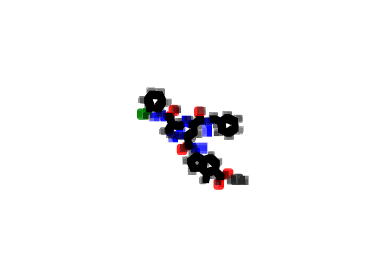 Cc1c(C(=O)OC(C)(C)C)ccc2c1CC[C@@H]2NC(=O)c1cc(C(=O)NCc2ccccc2)nc2c(C(=O)Nc3ccccc3Cl)cnn12